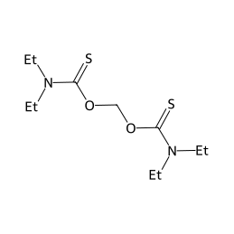 CCN(CC)C(=S)OCOC(=S)N(CC)CC